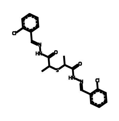 CC(SC(C)C(=O)N/N=C/c1ccccc1Cl)C(=O)N/N=C/c1ccccc1Cl